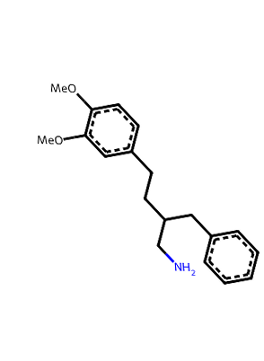 COc1ccc(CCC(CN)Cc2ccccc2)cc1OC